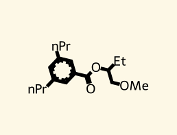 CCCc1cc(CCC)cc(C(=O)OC(CC)COC)c1